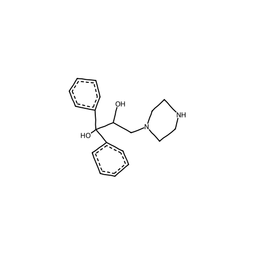 OC(CN1CCNCC1)C(O)(c1ccccc1)c1ccccc1